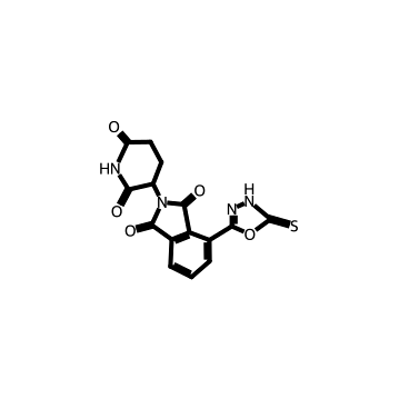 O=C1CCC(N2C(=O)c3cccc(-c4n[nH]c(=S)o4)c3C2=O)C(=O)N1